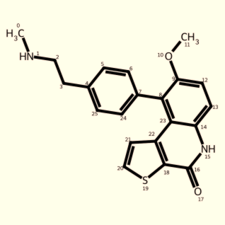 CNCCc1ccc(-c2c(OC)ccc3[nH]c(=O)c4sccc4c23)cc1